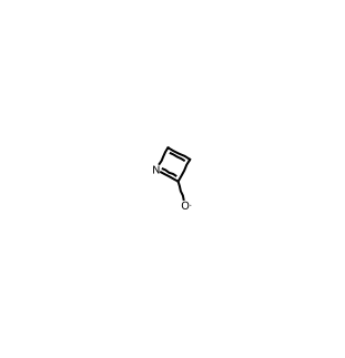 [O]C1=NC=C1